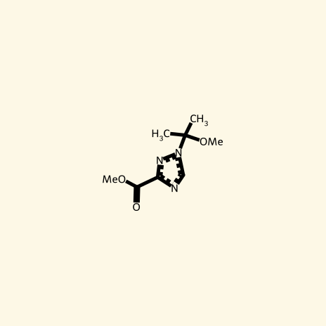 COC(=O)c1ncn(C(C)(C)OC)n1